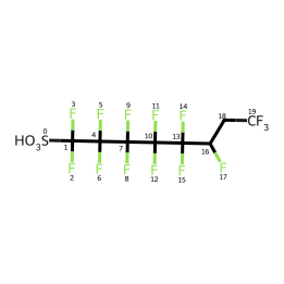 O=S(=O)(O)C(F)(F)C(F)(F)C(F)(F)C(F)(F)C(F)(F)C(F)CC(F)(F)F